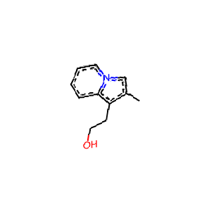 Cc1cn2ccccc2c1CCO